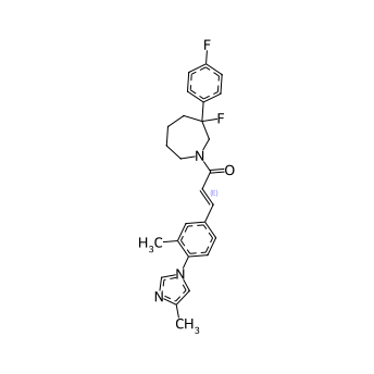 Cc1cn(-c2ccc(/C=C/C(=O)N3CCCCC(F)(c4ccc(F)cc4)C3)cc2C)cn1